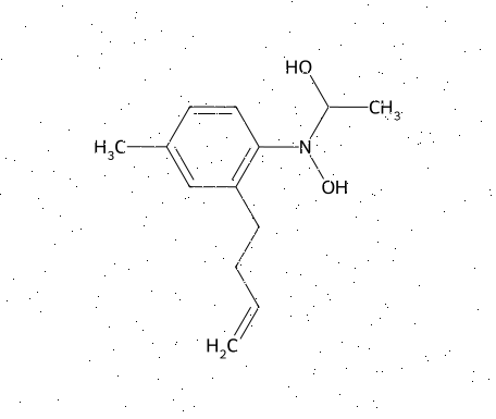 C=CCCc1cc(C)ccc1N(O)C(C)O